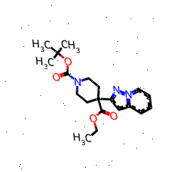 CCOC(=O)C1(c2cc3ccccn3n2)CCN(C(=O)OC(C)(C)C)CC1